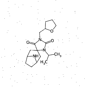 CC(C)N1C(=O)N(CC2CCCO2)C(=O)C12CC1CCC(C2)N1